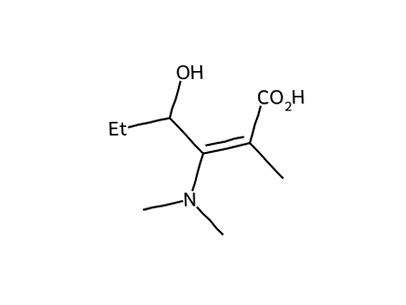 CCC(O)/C(=C(/C)C(=O)O)N(C)C